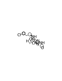 CC1(C)c2cnc(NC3CCOCC3)nc2CN1C(=O)N[C@@H]1CCCC(Cc2cccc(Cl)c2)C1